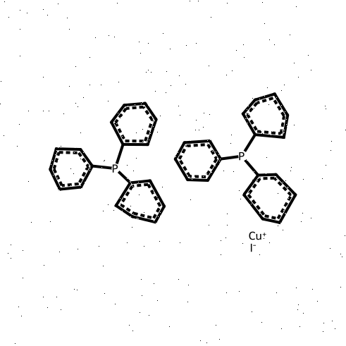 [Cu+].[I-].c1ccc(P(c2ccccc2)c2ccccc2)cc1.c1ccc(P(c2ccccc2)c2ccccc2)cc1